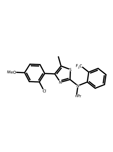 CCCN(c1nc(-c2ccc(OC)cc2Cl)c(C)s1)c1ccccc1C(F)(F)F